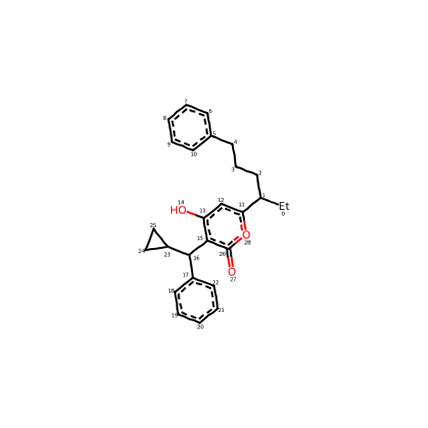 CCC(CCCc1ccccc1)c1cc(O)c(C(c2ccccc2)C2CC2)c(=O)o1